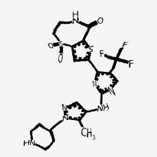 Cc1c(Nc2ncc(C(F)(F)F)c(-c3cc4c(s3)C(=O)NCCS4(=O)=O)n2)cnn1C1CCNCC1